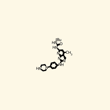 Cc1cc(NC(=O)NC(C)(C)C)nc2nc(Nc3ccc(N4CCNCC4)cc3)ncc12